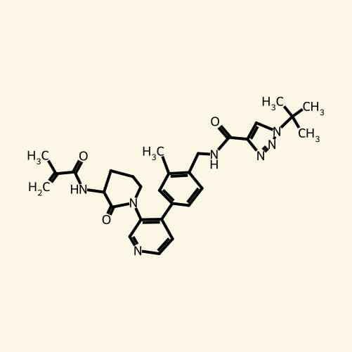 C=C(C)C(=O)NC1CCCN(c2cnccc2-c2ccc(CNC(=O)c3cn(C(C)(C)C)nn3)c(C)c2)C1=O